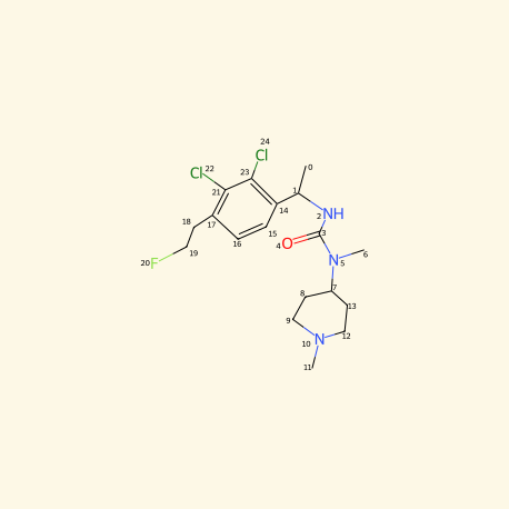 CC(NC(=O)N(C)C1CCN(C)CC1)c1ccc(CCF)c(Cl)c1Cl